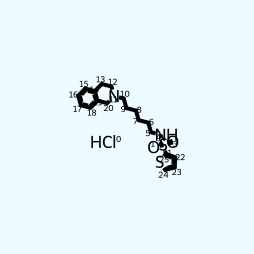 Cl.O=S(=O)(NCCCCCCN1CCc2ccccc2C1)c1cccs1